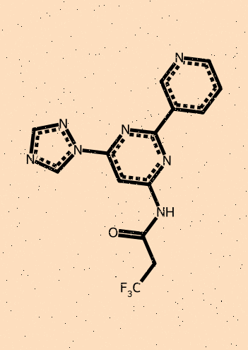 O=C(CC(F)(F)F)Nc1cc(-n2cncn2)nc(-c2cccnc2)n1